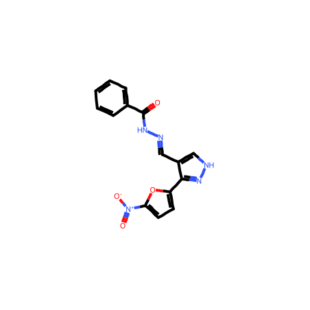 O=C(N/N=C/c1c[nH]nc1-c1ccc([N+](=O)[O-])o1)c1ccccc1